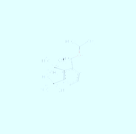 CC(C)O[SiH2]c1cccc(C(C)(C)C)c1C(C)(C)C